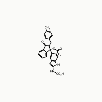 Cc1ccc(CN2C(=O)c3ccccc3C2(OC(=O)C(F)(F)F)c2ccc3[nH]c(NC(=O)O)nc3c2)cc1